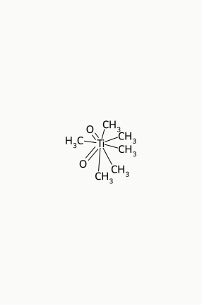 [CH3][Ti]([CH3])([CH3])([CH3])([CH3])([CH3])(=[O])=[O]